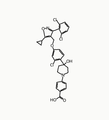 O=C(O)c1ccc(N2CCC(O)(c3ccc(OCc4c(-c5c(Cl)cccc5Cl)noc4C4CC4)cc3Cl)CC2)cc1